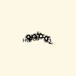 CCOc1ncc(-c2ccc([C@H](C)N3CC[C@](CC(C)(C)O)(c4ccccc4)OC3=O)cc2)cc1C